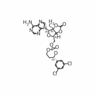 C[C@@]12OC(=O)O[C@@H]1[C@@H](COP1(=O)OCC[C@@H](c3cc(Cl)cc(Cl)c3)O1)O[C@H]2n1cnc2c(N)ncnc21